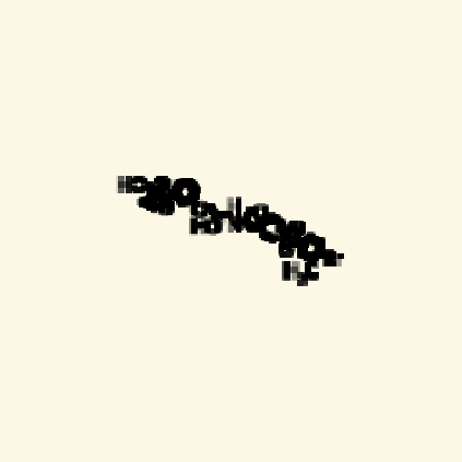 Cc1cc(S(=O)(=O)N2CCC3(CC2)C[C@@H](NC[C@H](O)COc2cccc(S(=O)(=O)C4(CO)CC4)c2)CO3)ccc1Br